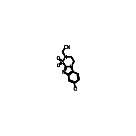 N#CCN1CCn2c(nc3cc(Cl)ccc32)S1(=O)=O